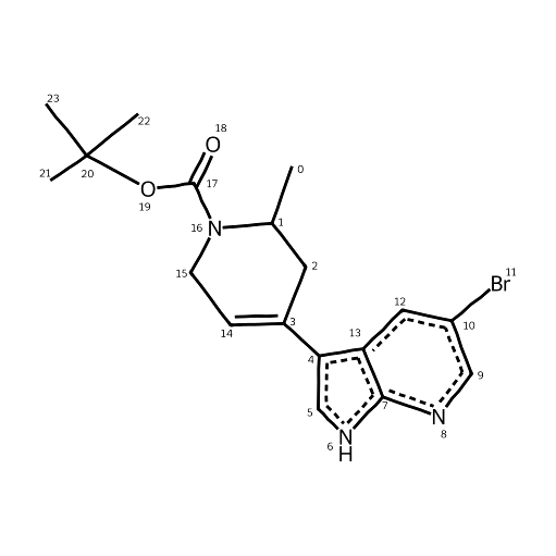 CC1CC(c2c[nH]c3ncc(Br)cc23)=CCN1C(=O)OC(C)(C)C